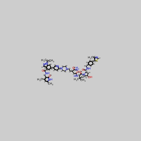 Cc1cc(C)c(CNC(=O)c2cc(-c3ccc(N4CCN(CCC(CC(=O)N[C@H](C(=O)N5C[C@H](O)C[C@H]5C(=O)NCc5ccc(-c6scnc6C)cc5)C(C)(C)C)C(N)=O)CC4)nc3)cc3c2cnn3C(C)C)c(=O)[nH]1